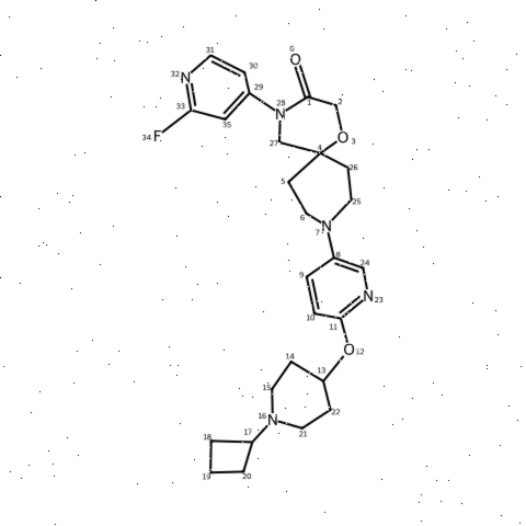 O=C1COC2(CCN(c3ccc(OC4CCN(C5CCC5)CC4)nc3)CC2)CN1c1ccnc(F)c1